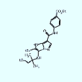 CCOC(=O)c1ccc(NC(=O)c2cnn3c(NC(C)(C)CC(C)(C)C)c(C(C)(C)C)[nH]c23)cc1